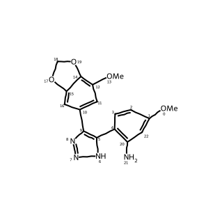 COc1ccc(-c2[nH]nnc2-c2cc(OC)c3c(c2)OCO3)c(N)c1